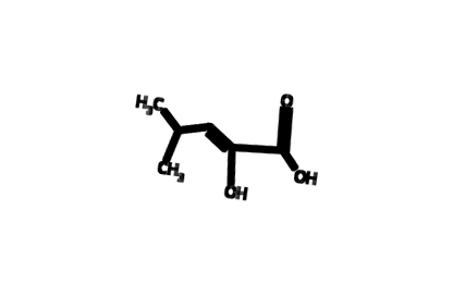 CC(C)C=C(O)C(=O)O